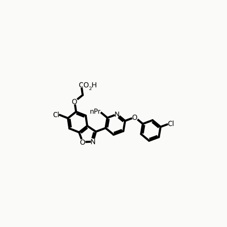 CCCc1nc(Oc2cccc(Cl)c2)ccc1-c1noc2cc(Cl)c(OCC(=O)O)cc12